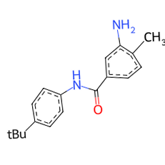 Cc1ccc(C(=O)Nc2ccc(C(C)(C)C)cc2)cc1N